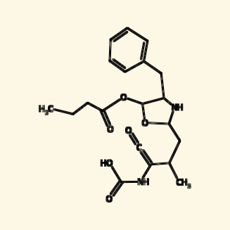 CCCC(=O)OC1OC(CC(C)C(=C=O)NC(=O)O)NC1Cc1ccccc1